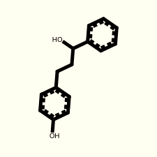 Oc1ccc(CCC(O)c2ccccc2)cc1